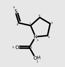 O=C(O)N1CCCC1C=S